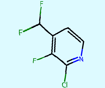 Fc1c(C(F)F)ccnc1Cl